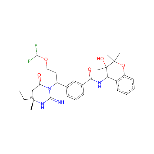 CC[C@]1(C)CC(=O)N(C(CCOC(F)F)c2cccc(C(=O)NC3c4ccccc4OC(C)(C)C3(C)O)c2)C(=N)N1